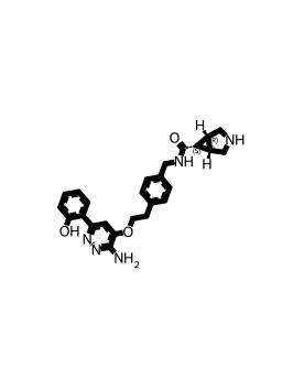 Nc1nnc(-c2ccccc2O)cc1OCCc1ccc(CNC(=O)[C@@H]2[C@@H]3CNC[C@@H]32)cc1